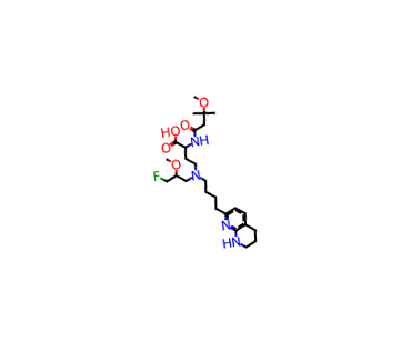 COC(CF)CN(CCCCc1ccc2c(n1)NCCC2)CCC(NC(=O)CC(C)(C)OC)C(=O)O